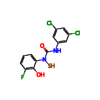 O=C(Nc1cc(Cl)cc(Cl)c1)N(S)c1cccc(F)c1O